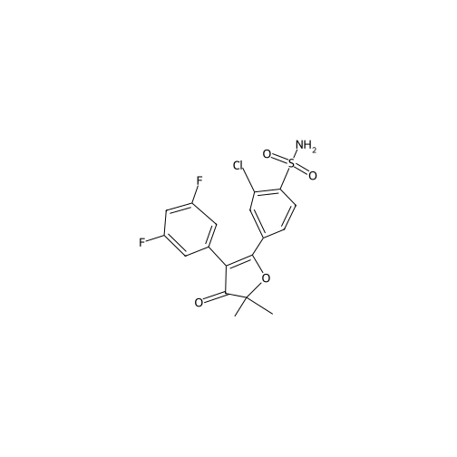 CC1(C)OC(c2ccc(S(N)(=O)=O)c(Cl)c2)=C(c2cc(F)cc(F)c2)C1=O